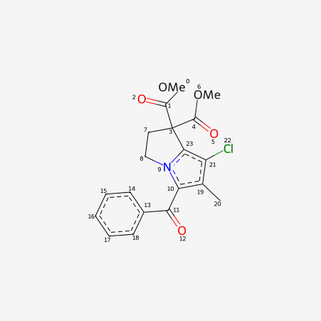 COC(=O)C1(C(=O)OC)CCn2c(C(=O)c3ccccc3)c(C)c(Cl)c21